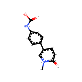 Cn1cc(-c2ccc(NC(=O)O)cc2)ccc1=O